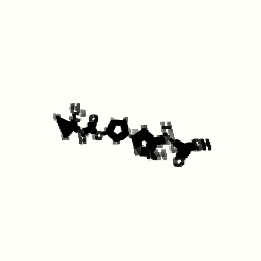 CC1(NC(=O)O[C@@H]2CC[C@H](c3cc(NC(=O)O)[nH]n3)C2)CC1